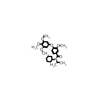 COc1cc(C(=O)N(C(C)C)C2CCCCC2)ccc1Oc1cc(OC)c(OC)c(OC)c1